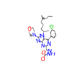 C=CC[C@H](C)CCCC(C)n1c(N2CCOC[C@H]2C)nc2nc(-c3n[nH]c(=O)o3)nc(-c3cccc(Cl)c3)c21